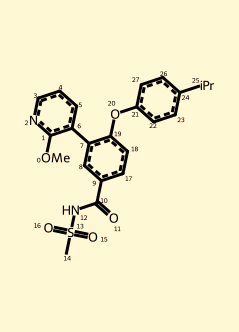 COc1ncccc1-c1cc(C(=O)NS(C)(=O)=O)ccc1Oc1ccc(C(C)C)cc1